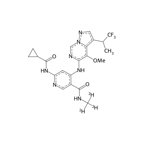 [2H]C([2H])([2H])NC(=O)c1cnc(NC(=O)C2CC2)cc1Nc1ncn2ncc(C(C)C(F)(F)F)c2c1OC